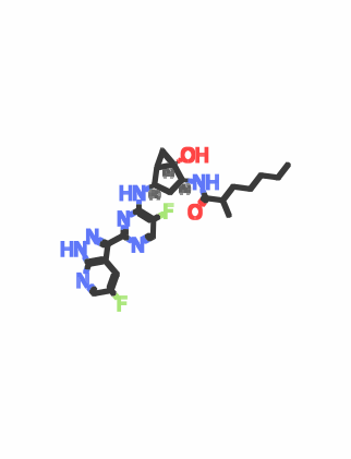 CCCCCC(C)C(=O)N[C@H]1C[C@@H](Nc2nc(-c3n[nH]c4ncc(F)cc34)ncc2F)C2C[C@]21O